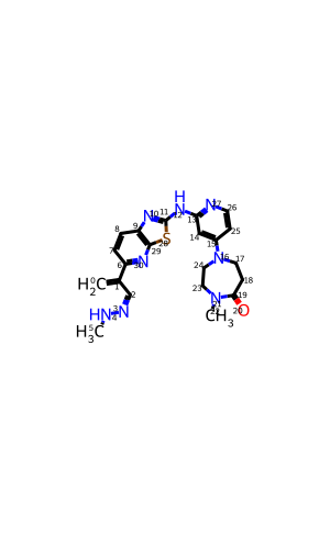 C=C(/C=N\NC)c1ccc2nc(Nc3cc(N4CCC(=O)N(C)CC4)ccn3)sc2n1